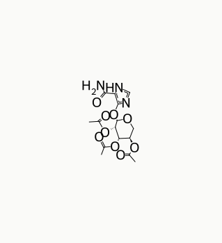 CC(=O)O[C@@H]1[C@@H](Oc2nc[nH]c2C(N)=O)OC[C@@H](OC(C)=O)[C@@H]1OC(C)=O